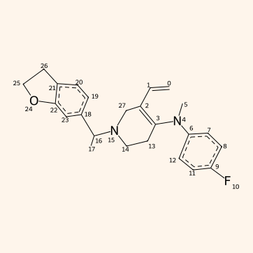 C=CC1=C(N(C)c2ccc(F)cc2)CCN(C(C)c2ccc3c(c2)OCC3)C1